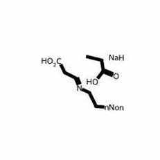 CCC(=O)O.CCCCCCCCCCCN=CCC(=O)O.[NaH]